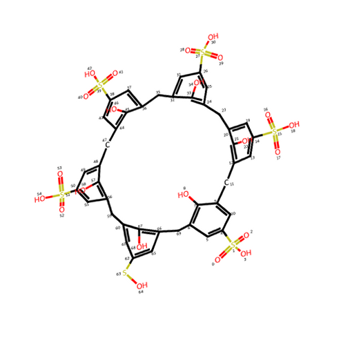 O=S(=O)(O)c1cc2c(O)c(c1)Cc1cc(S(=O)(=O)O)cc(c1O)Cc1cc(S(=O)(=O)O)cc(c1O)Cc1cc(S(=O)(=O)O)cc(c1O)Cc1cc(S(=O)(=O)O)cc(c1O)Cc1cc(SO)cc(c1O)C2